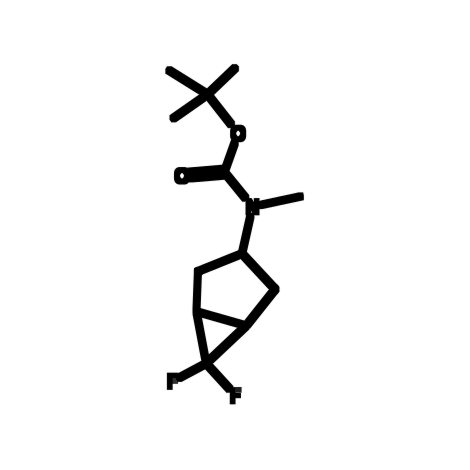 CN(C(=O)OC(C)(C)C)C1CC2C(C1)C2(F)F